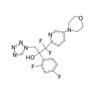 OC(Cn1cnnn1)(c1ccc(F)cc1F)C(F)(F)c1ccc(N2CCOCC2)cn1